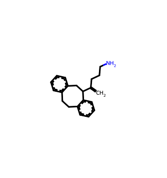 C=C(CCCN)C1Cc2ccccc2CCc2ccccc21